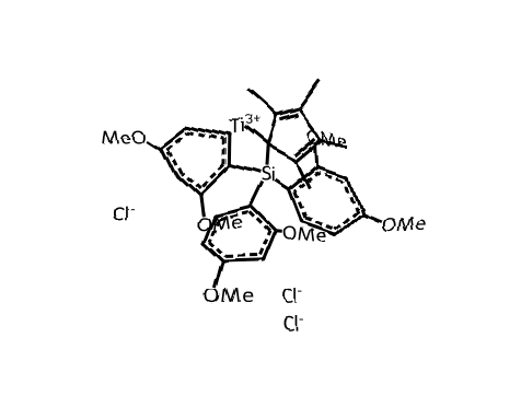 COc1ccc([Si](c2ccc(OC)cc2OC)(c2ccc(OC)cc2OC)[C]2([Ti+3])C(C)=C(C)C(C)=C2C)c(OC)c1.[Cl-].[Cl-].[Cl-]